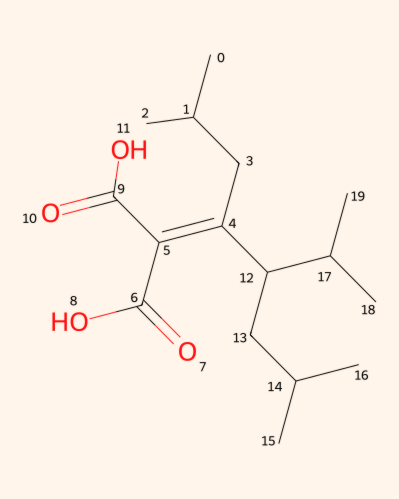 CC(C)CC(=C(C(=O)O)C(=O)O)C(CC(C)C)C(C)C